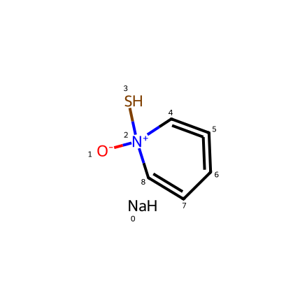 [NaH].[O-][N+]1(S)C=C=CC=C1